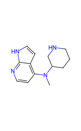 CN(c1ccnc2[nH]ccc12)C1CCCNC1